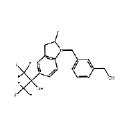 CC1Cc2cc(C(O)(C(F)(F)F)C(F)(F)F)ccc2N1Cc1cccc(CO)c1